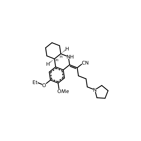 CCOc1cc2c(cc1OC)C(=C(C#N)CCCN1CCCC1)N[C@@H]1CCCC[C@H]21